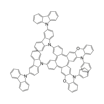 c1ccc(-n2c3ccccc3oc3cc4c5ccc(-n6c7ccccc7c7cc(-n8c9ccccc9c9ccccc98)ccc76)cc5c5cc(-n6c7ccccc7c7cc(-n8c9ccccc9c9ccccc98)ccc76)ccc5c5cc6oc7ccccc7n(-c7ccccc7)c6cc5c4cc32)cc1